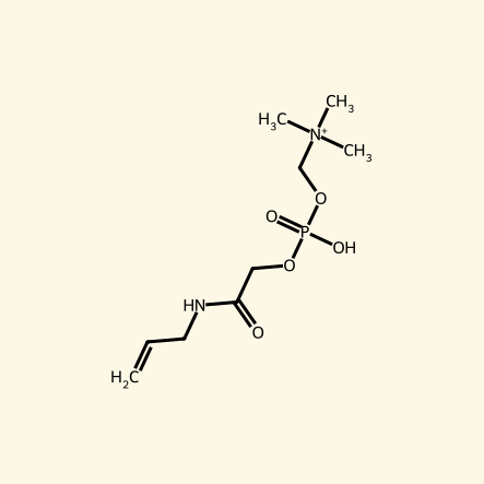 C=CCNC(=O)COP(=O)(O)OC[N+](C)(C)C